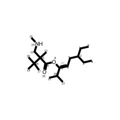 CCC(CC)C/C=C(\OC(=O)C(C)(CNC)C(C)(C)C)C(C)C